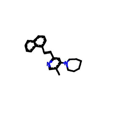 Cc1cnc(/C=C/c2cccc3ccccc23)cc1N1CCCCCC1